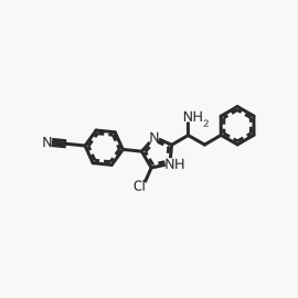 N#Cc1ccc(-c2nc(C(N)Cc3ccccc3)[nH]c2Cl)cc1